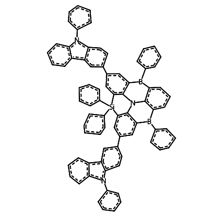 c1ccc(B2c3cccc4c3N3c5c2cc(-c2ccc6c(c2)c2ccccc2n6-c2ccccc2)cc5[Si](c2ccccc2)(c2ccccc2)c2cc(-c5ccc6c(c5)c5ccccc5n6-c5ccccc5)cc(c23)B4c2ccccc2)cc1